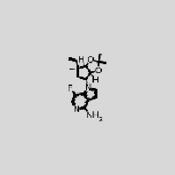 C=C[C@@]1(C)C[C@@H](n2ccc3c(N)ncc(F)c32)[C@@H]2OC(C)(C)O[C@@H]21